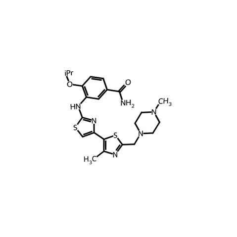 Cc1nc(CN2CCN(C)CC2)sc1-c1csc(Nc2cc(C(N)=O)ccc2OC(C)C)n1